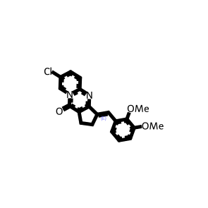 COc1cccc(/C=C2\CCc3c2nc2ccc(Cl)cn2c3=O)c1OC